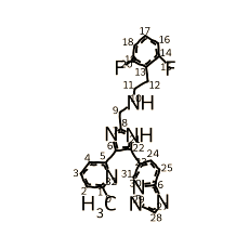 Cc1cccc(-c2nc(CNCCc3c(F)cccc3F)[nH]c2-c2ccc3ncnn3c2)n1